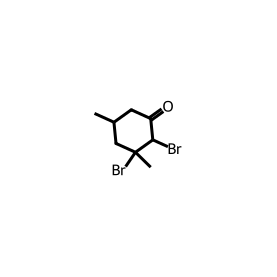 CC1CC(=O)C(Br)C(C)(Br)C1